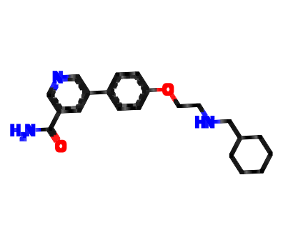 NC(=O)c1cncc(-c2ccc(OCCNCC3CCCCC3)cc2)c1